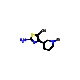 CCN1CCC=C(c2nc(N)sc2C#N)C1